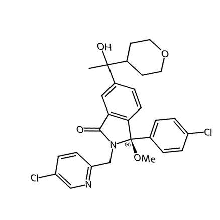 CO[C@]1(c2ccc(Cl)cc2)c2ccc(C(C)(O)C3CCOCC3)cc2C(=O)N1Cc1ccc(Cl)cn1